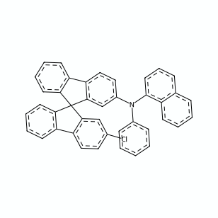 Clc1ccc2c(c1)C1(c3ccccc3-2)c2ccccc2-c2ccc(N(c3ccccc3)c3cccc4ccccc34)cc21